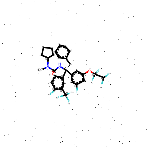 CN(C(=O)N[C@@](Cc1ccccc1)(c1cc(F)cc(OC(F)(F)C(F)F)c1)c1ccc(F)c(C(F)(F)F)c1)C1CCCC1